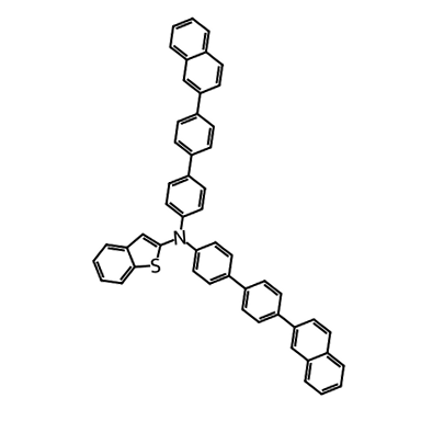 c1ccc2cc(-c3ccc(-c4ccc(N(c5ccc(-c6ccc(-c7ccc8ccccc8c7)cc6)cc5)c5cc6ccccc6s5)cc4)cc3)ccc2c1